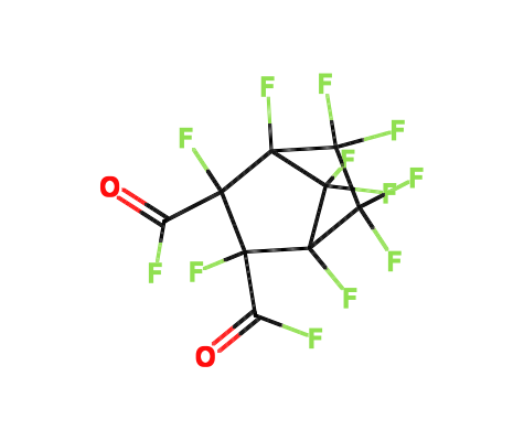 O=C(F)C1(F)C(F)(C(=O)F)C2(F)C(F)(F)C(F)(F)C1(F)C2(F)F